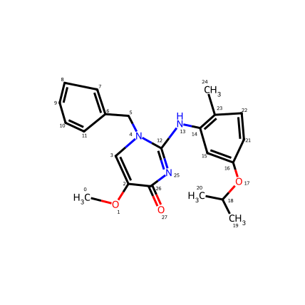 COc1cn(Cc2ccccc2)c(Nc2cc(OC(C)C)ccc2C)nc1=O